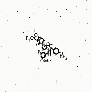 COc1cc(F)c([C@@H]2CN(c3ccnn(CC(O)C(F)(F)F)c3=O)C(=O)[C@H]2NC(=O)c2ccc(OC(F)(F)F)cc2)c(F)c1